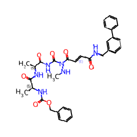 CNN(C(=O)/C=C/C(=O)NCc1cccc(-c2ccccc2)c1)C(=O)NC(=O)[C@H](C)NC(=O)[C@H](C)NC(=O)OCc1ccccc1